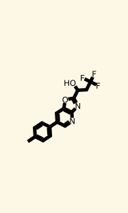 Cc1ccc(-c2cnc3nc(C(O)CC(F)(F)F)oc3c2)cc1